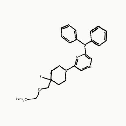 O=C(O)COCC1(F)CCN(c2cncc(N(c3ccccc3)c3ccccc3)n2)CC1